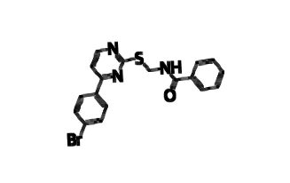 O=C(NCSc1nccc(-c2ccc(Br)cc2)n1)c1ccccc1